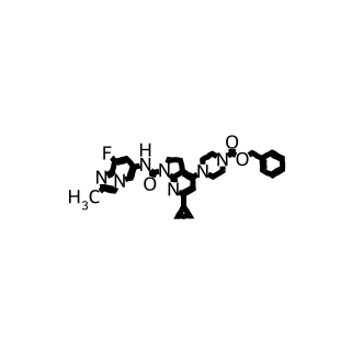 Cc1cn2cc(NC(=O)N3CCc4c(N5CCN(C(=O)OCc6ccccc6)CC5)cc(C5CC5)nc43)cc(F)c2n1